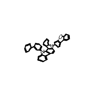 c1ccc(-c2cccc(-n3c4ccccc4c4ccc5c(c6ccccc6n5-c5ccc6c(c5)oc5ccccc56)c43)c2)cc1